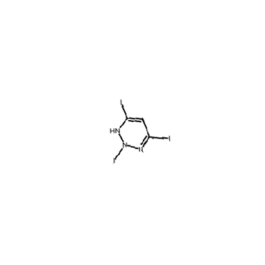 IC1=CC(I)=NN(I)N1